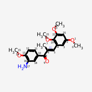 COc1cc(/C=C(\C)C(=O)c2ccc(OC)c(N)c2)c(OC)c(OC)c1